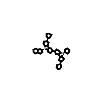 c1ccc(-c2ccc3c(c2)c2cc(-c4ccc5c(c4)c4cc(-c6ccccc6)ccc4n5-c4ccc5ccccc5c4)ccc2n3-c2ccccc2)cc1